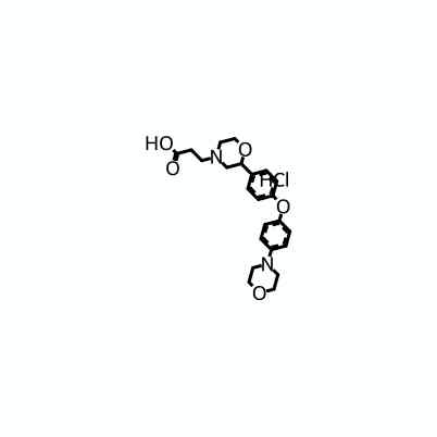 Cl.O=C(O)CCN1CCOC(c2ccc(Oc3ccc(N4CCOCC4)cc3)cc2)C1